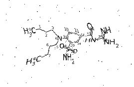 CCCCN(CCCC)c1ccc(C(=O)NC(=N)N)cc1S(N)(=O)=O